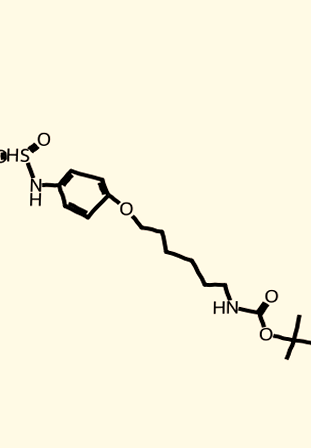 CC(C)(C)OC(=O)NCCCCCCOc1ccc(N[SH](=O)=O)cc1